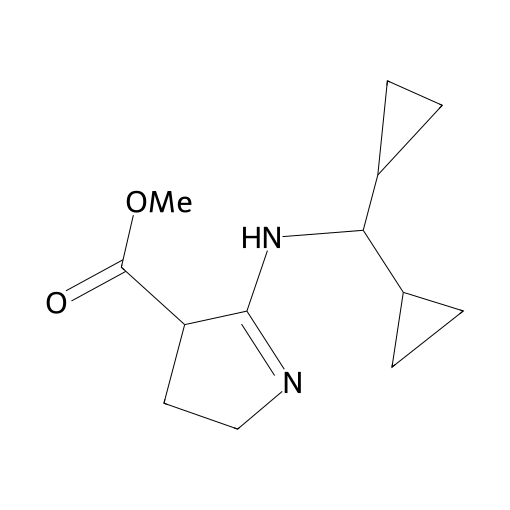 COC(=O)C1CCN=C1NC(C1CC1)C1CC1